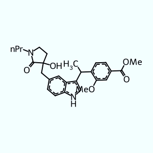 CCCN1CCC(O)(Cc2ccc3[nH]cc(C(C)c4ccc(C(=O)OC)cc4OC)c3c2)C1=O